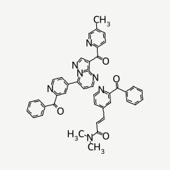 CN(C)C(=O)C=Cc1ccnc(C(=O)c2ccccc2)c1.Cc1ccc(C(=O)c2cnn3c(-c4ccnc(C(=O)c5ccccc5)c4)ccnc23)nc1